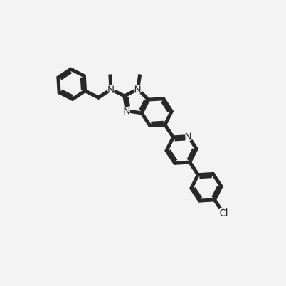 CN(Cc1ccccc1)c1nc2cc(-c3ccc(-c4ccc(Cl)cc4)cn3)ccc2n1C